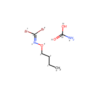 CCCCON=C(Br)Br.NC(=O)O